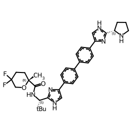 CC(C)(C)[C@H](NC(=O)[C@@]1(C)CCC(F)(F)CO1)c1nc(-c2ccc(-c3ccc(-c4c[nH]c([C@@H]5CCCN5)n4)cc3)cc2)c[nH]1